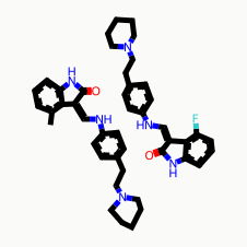 Cc1cccc2c1/C(=C/Nc1ccc(CCN3CCCCC3)cc1)C(=O)N2.O=C1Nc2cccc(F)c2/C1=C/Nc1ccc(CCN2CCCCC2)cc1